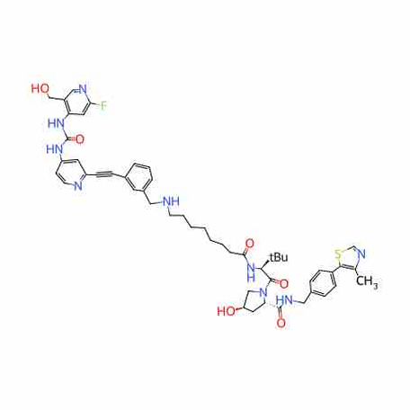 Cc1ncsc1-c1ccc(CNC(=O)[C@@H]2C[C@@H](O)CN2C(=O)[C@@H](NC(=O)CCCCCCCNCc2cccc(C#Cc3cc(NC(=O)Nc4cc(F)ncc4CO)ccn3)c2)C(C)(C)C)cc1